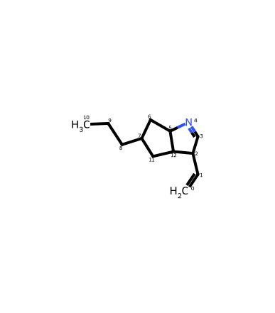 C=CC1C=NC2CC(CCC)CC12